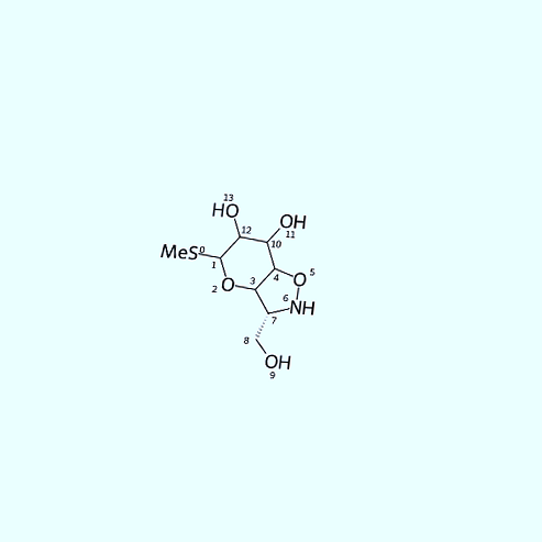 CSC1OC2C(ON[C@@H]2CO)C(O)C1O